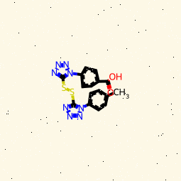 Cc1ccc(-n2nnnc2SSc2nnnn2-c2ccc(C(=O)O)cc2)cc1